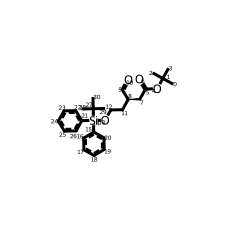 CC(C)(C)OC(=O)C[C@H](C=O)CCO[Si](c1ccccc1)(c1ccccc1)C(C)(C)C